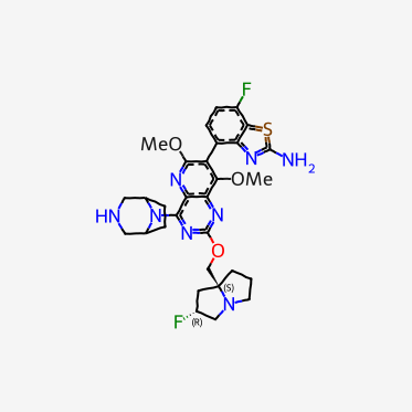 COc1nc2c(N3C4CCC3CNC4)nc(OC[C@@]34CCCN3C[C@H](F)C4)nc2c(OC)c1-c1ccc(F)c2sc(N)nc12